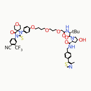 Cc1ncsc1-c1ccc(CNC(=O)[C@@H]2C[C@@H](O)CN2C(=O)[C@@H](NC(=O)COCCCOCCCCOc2ccc(N3C(=S)N(c4ccc(C#N)c(C(F)(F)F)c4)C(=O)C34CCOCC4)cc2)C(C)(C)C)cc1